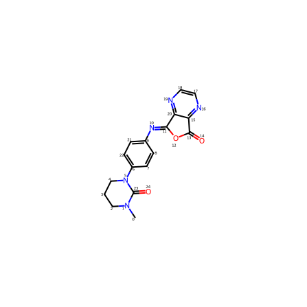 CN1CCCN(c2ccc(/N=C3\OC(=O)c4nccnc43)cc2)C1=O